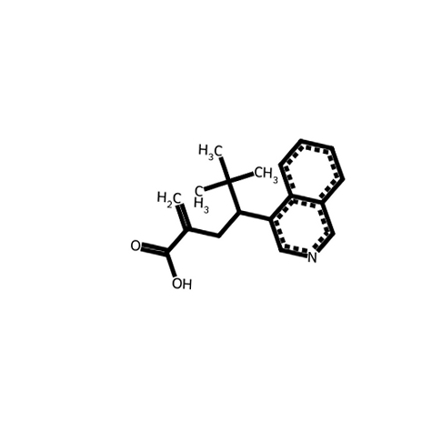 C=C(CC(c1cncc2ccccc12)C(C)(C)C)C(=O)O